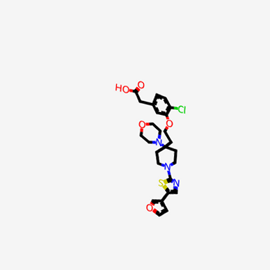 O=C(O)Cc1ccc(Cl)c(OCCC2(N3CCOCC3)CCN(c3ncc(-c4ccoc4)s3)CC2)c1